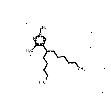 CCCCCCC(CCCCC)c1cn(C)nc1C